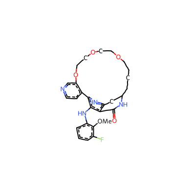 COc1c(F)cccc1Nc1c2[nH]c3c1C(=O)NC(CCCCOCCOCCOc1cnccc1-2)C3